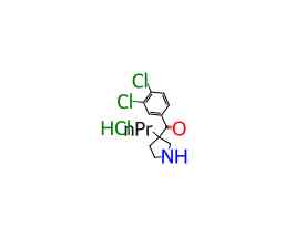 CCCC1(C(=O)c2ccc(Cl)c(Cl)c2)CCNC1.Cl